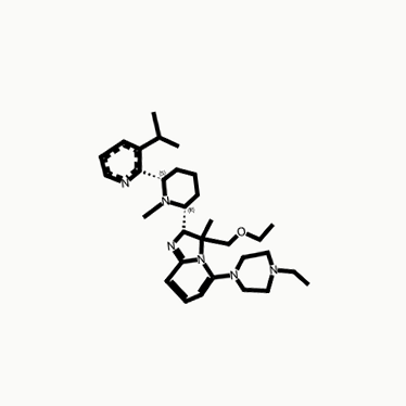 CCOCC1(C)C([C@H]2CCC[C@@H](c3ncccc3C(C)C)N2C)N=C2C=CC=C(N3CCN(CC)CC3)N21